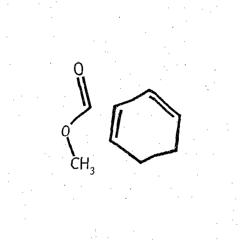 C1=CCCC=C1.COC=O